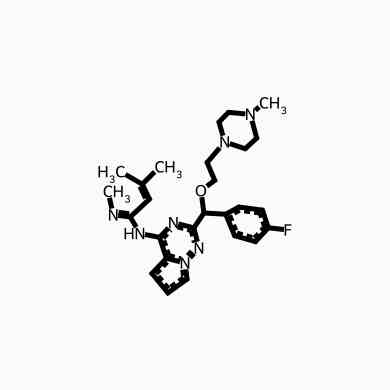 C/N=C(\C=C(C)C)Nc1nc(C(OCCN2CCN(C)CC2)c2ccc(F)cc2)nn2cccc12